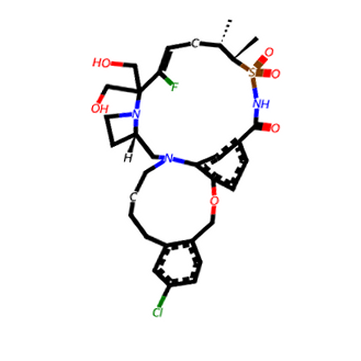 C[C@@H]1[C@@H](C)C/C=C(\F)C(CO)(CO)N2CC[C@H]2CN2CCCCc3cc(Cl)ccc3COc3ccc(cc32)C(=O)NS1(=O)=O